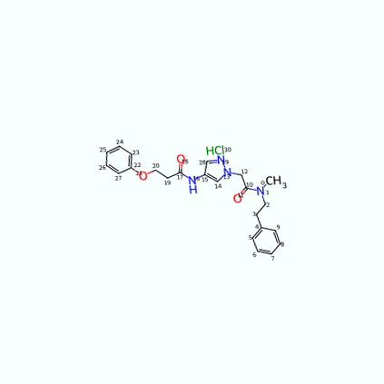 CN(CCc1ccccc1)C(=O)Cn1cc(NC(=O)CCOc2ccccc2)cn1.Cl